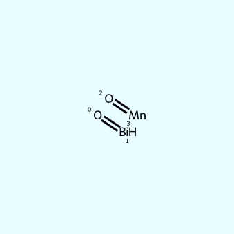 [O]=[BiH].[O]=[Mn]